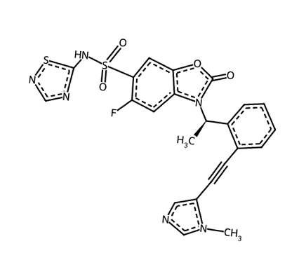 C[C@H](c1ccccc1C#Cc1cncn1C)n1c(=O)oc2cc(S(=O)(=O)Nc3ncns3)c(F)cc21